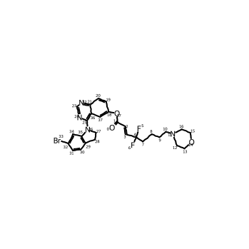 O=C(C=CC(F)(F)CCCCN1CCOCC1)Oc1ccc2ncnc(N3CCc4ccc(Br)cc43)c2c1